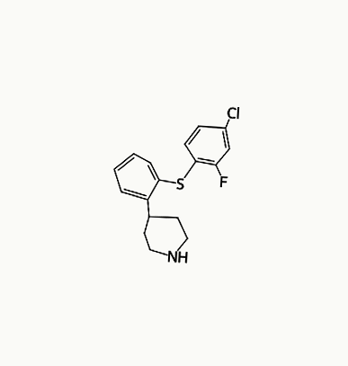 Fc1cc(Cl)ccc1Sc1ccccc1C1CCNCC1